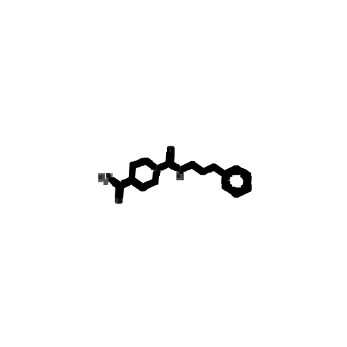 NC(=O)C1CCN(C(=O)NCCCc2ccccc2)CC1